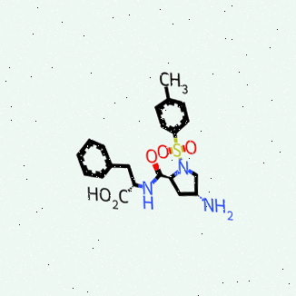 Cc1ccc(S(=O)(=O)N2C[C@H](N)C[C@H]2C(=O)N[C@@H](Cc2ccccc2)C(=O)O)cc1